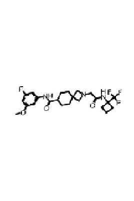 COc1cc(F)cc(NC(=O)C2CCC3(CC2)CN(CC(=O)NC2(C(F)(F)F)CCC2)C3)c1